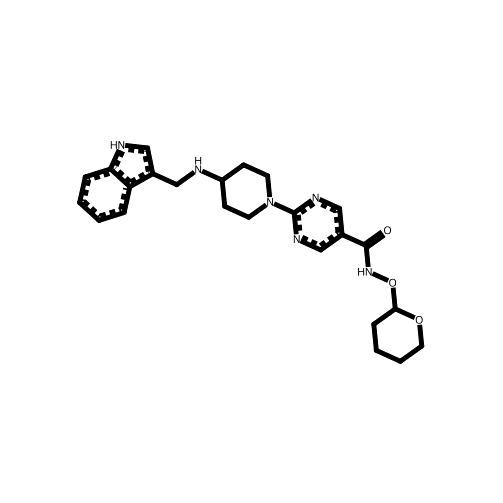 O=C(NOC1CCCCO1)c1cnc(N2CCC(NCc3c[nH]c4ccccc34)CC2)nc1